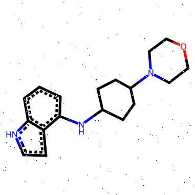 c1cc(NC2CCC(N3CCOCC3)CC2)c2cc[nH]c2c1